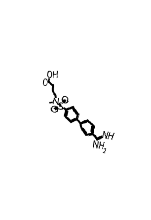 CN(CCCC(=O)O)S(=O)(=O)c1ccc(-c2ccc(C(=N)N)cc2)cc1